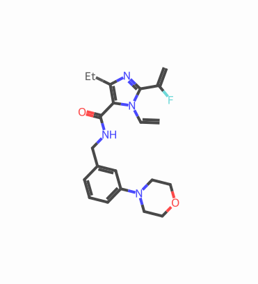 C=Cn1c(C(=C)F)nc(CC)c1C(=O)NCc1cccc(N2CCOCC2)c1